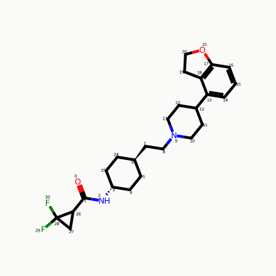 O=C(N[C@H]1CC[C@H](CCN2CCC(c3cccc4c3CCO4)CC2)CC1)C1CC1(F)F